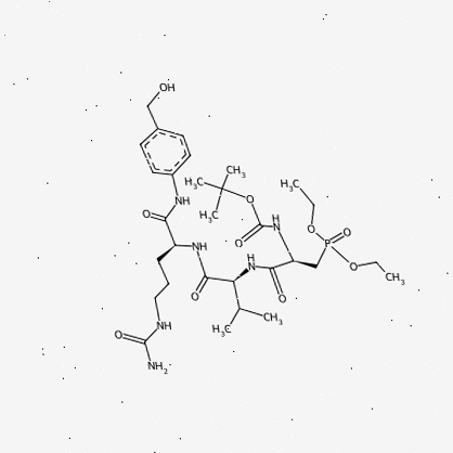 CCOP(=O)(C[C@H](NC(=O)OC(C)(C)C)C(=O)N[C@H](C(=O)N[C@@H](CCCNC(N)=O)C(=O)Nc1ccc(CO)cc1)C(C)C)OCC